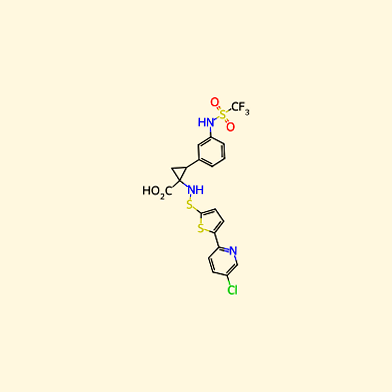 O=C(O)C1(NSc2ccc(-c3ccc(Cl)cn3)s2)CC1c1cccc(NS(=O)(=O)C(F)(F)F)c1